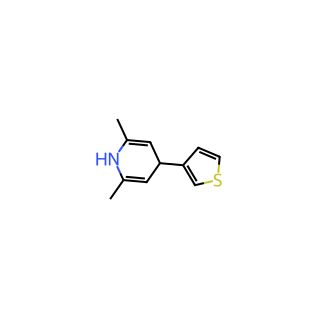 CC1=CC(c2ccsc2)C=C(C)N1